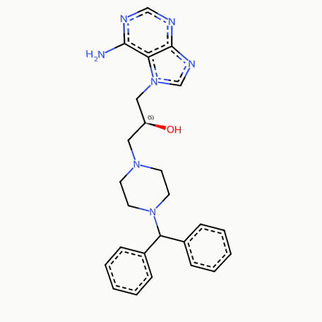 Nc1ncnc2ncn(C[C@@H](O)CN3CCN(C(c4ccccc4)c4ccccc4)CC3)c12